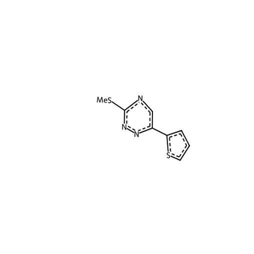 CSc1ncc(-c2cccs2)nn1